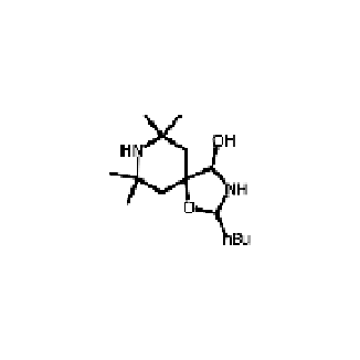 CCCCC1NC(O)C2(CC(C)(C)NC(C)(C)C2)O1